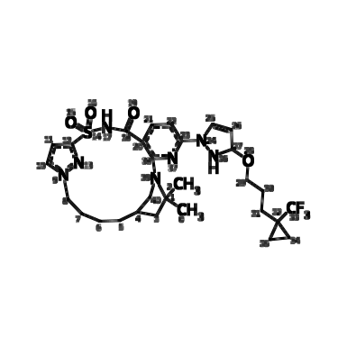 CC1(C)CC2CCCCn3ccc(n3)S(=O)(=O)NC(=O)c3ccc(N4C=CC(OCCCC5(C(F)(F)F)CC5)N4)nc3N1C2